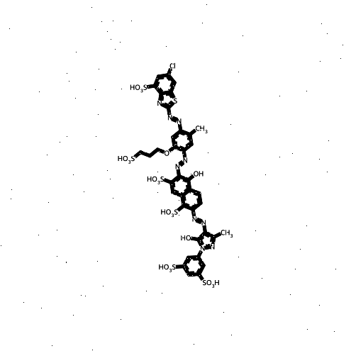 Cc1cc(N=Nc2c(S(=O)(=O)O)cc3c(S(=O)(=O)O)c(N=Nc4c(C)nn(-c5cc(S(=O)(=O)O)cc(S(=O)(=O)O)c5)c4O)ccc3c2O)c(OCCCS(=O)(=O)O)cc1N=Nc1nc2c(S(=O)(=O)O)cc(Cl)cc2s1